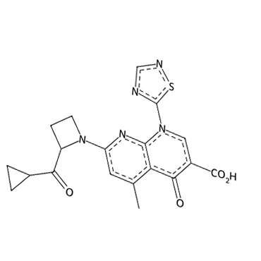 Cc1cc(N2CCC2C(=O)C2CC2)nc2c1c(=O)c(C(=O)O)cn2-c1ncns1